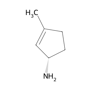 CC1=C[C@@H](N)CC1